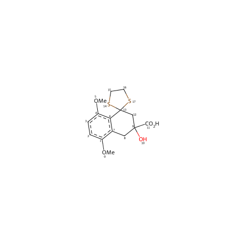 COc1ccc(OC)c2c1CC(O)(C(=O)O)CC21SCCS1